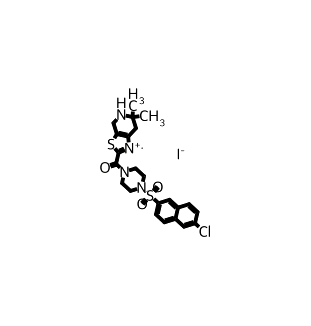 CC1(C)CC2=C(CN1)SC(C(=O)N1CCN(S(=O)(=O)c3ccc4cc(Cl)ccc4c3)CC1)=[N+]2.[I-]